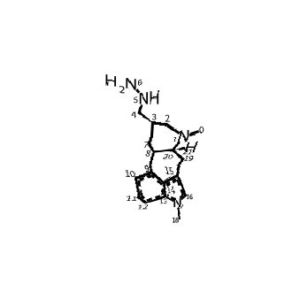 CN1C[C@H](CNN)CC2c3cccc4c3c(cn4C)C[C@H]21